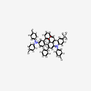 Cc1ccc(N(c2ccc(C)cc2)c2ccc(-c3c(-c4ccccc4)cc(N(c4ccc(C)cc4)c4ccc([Si](C)(C)C)cc4)c4ccccc34)c(-c3ccccc3)c2)cc1